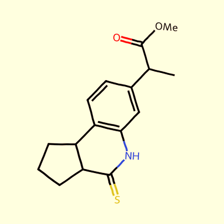 COC(=O)C(C)c1ccc2c(c1)NC(=S)C1CCCC21